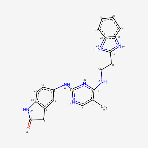 O=C1Cc2cc(Nc3ncc(C(F)(F)F)c(NCCc4nc5ccccc5[nH]4)n3)ccc2N1